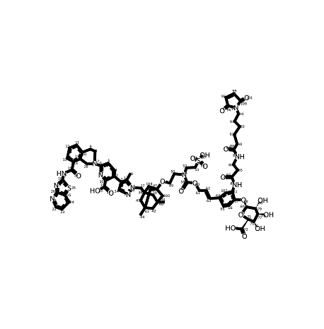 Cc1c(-c2ccc(N3CCc4cccc(C(=O)Nc5nc6ncccc6s5)c4C3)nc2C(=O)O)cnn1CC12CC3(C)CC(C)(C1)CC(OCCN(CCS(=O)(=O)O)C(=O)OC/C=C/c1ccc(O[C@@H]4O[C@H](C(=O)O)[C@@H](O)[C@H](O)[C@H]4O)c(NC(=O)CCNC(=O)CCCCCN4C(=O)C=CC4=O)c1)(C3)C2